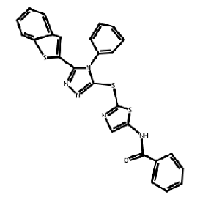 O=C(Nc1cnc(Sc2nnc(-c3cc4ccccc4s3)n2-c2ccccc2)s1)c1ccccc1